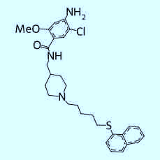 COc1cc(N)c(Cl)cc1C(=O)NCC1CCN(CCCCCSc2cccc3ccccc23)CC1